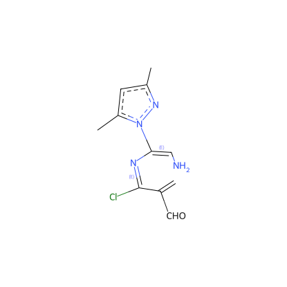 C=C(C=O)/C(Cl)=N\C(=C/N)n1nc(C)cc1C